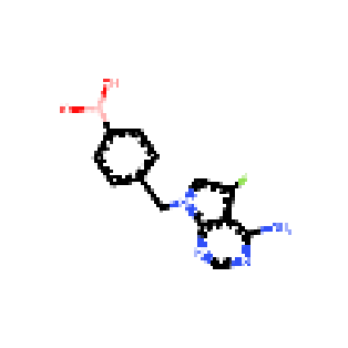 Nc1ncnc2c1c(F)cn2Cc1ccc(B(O)O)cc1